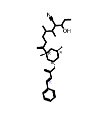 C=C(/C=C/c1ccccc1)C[C@H]1C[C@H](C)C[C@@](C)(C(=C)CCC(C)C(C)C(C#N)C(O)CC)C1